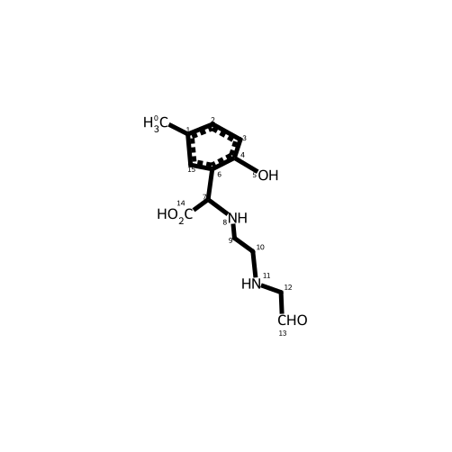 Cc1ccc(O)c(C(NCCNCC=O)C(=O)O)c1